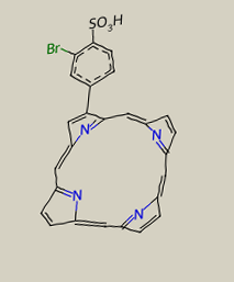 O=S(=O)(O)c1ccc(C2=CC3=CC4=NC(=CC5=NC(=CC6=NC(=CC2=N3)C=C6)C=C5)C=C4)cc1Br